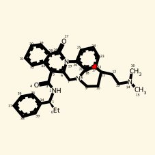 CC[C@H](NC(=O)c1c(CN2CCC(CCN(C)C)CC2)n(-c2ccccc2)c(=O)c2ccccc12)c1ccccc1